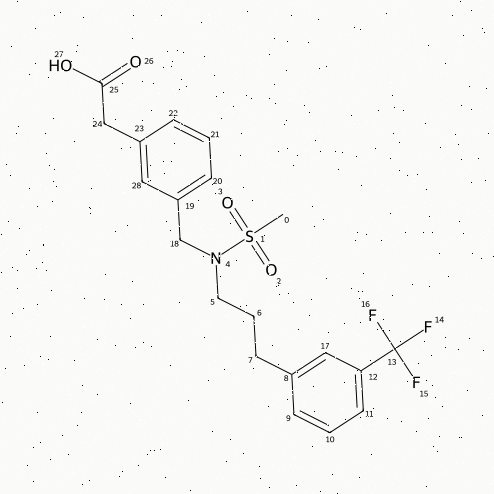 CS(=O)(=O)N(CCCc1cccc(C(F)(F)F)c1)Cc1cccc(CC(=O)O)c1